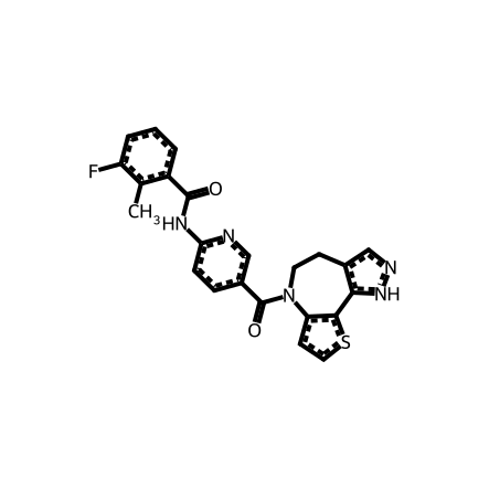 Cc1c(F)cccc1C(=O)Nc1ccc(C(=O)N2CCc3cn[nH]c3-c3sccc32)cn1